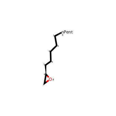 CCCCCCCCCC[C@@H]1CO1